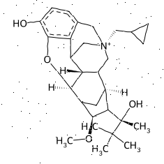 CO[C@H]1C2C[C@@H](C3C[N@+]4(CC5CC5)Cc5ccc(O)c6c5C(C4)[C@H]3[C@@H]2O6)C1[C@](C)(O)C(C)(C)C